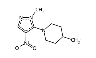 [CH2]C1CCN(c2c([N+](=O)[O-])cnn2C)CC1